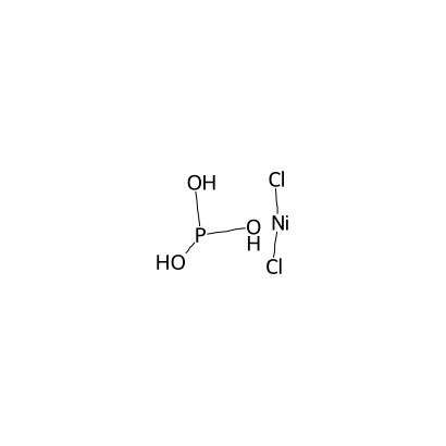 OP(O)O.[Cl][Ni][Cl]